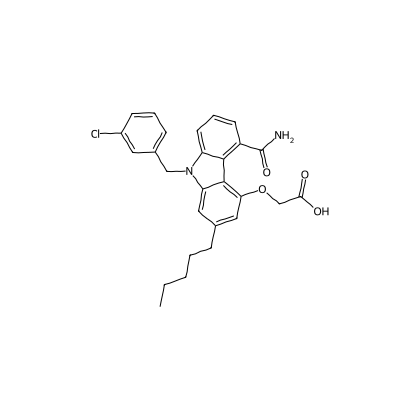 CCCCCc1cc(OCC(=O)O)c2c3c(C(N)=O)cccc3n(Cc3cccc(Cl)c3)c2c1